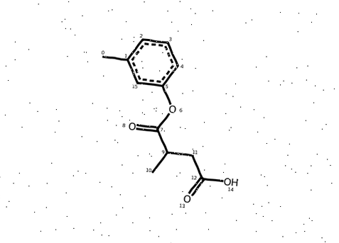 Cc1cccc(OC(=O)C(C)CC(=O)O)c1